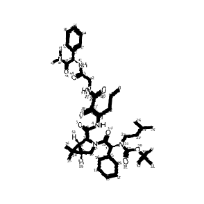 CCCC(NC(=O)C1[C@@H]2[C@H](CN1C(=O)[C@H](C1CCCCC1)N(CCC(C)C)C(=O)OC(C)(C)C)C2(C)C)C(=O)C(=O)NCC(=O)N[C@H](C(=O)N(C)C)c1ccccc1